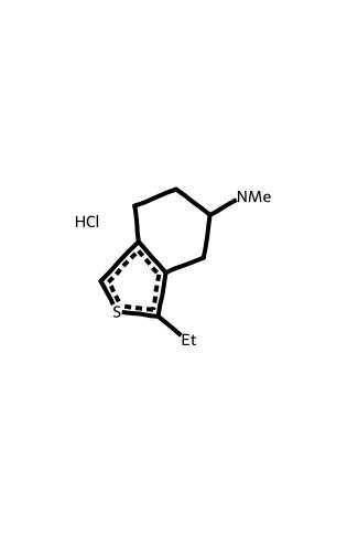 CCc1scc2c1CC(NC)CC2.Cl